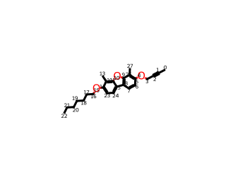 CC#CCOc1ccc2c(oc3c(C)c(OCCCCCCC)ccc32)c1C